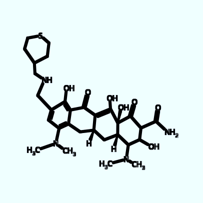 CN(C)c1cc(CNCC2CCSCC2)c(O)c2c1C[C@H]1C[C@H]3C(N(C)C)C(O)C(C(N)=O)C(=O)[C@@]3(O)C(O)=C1C2=O